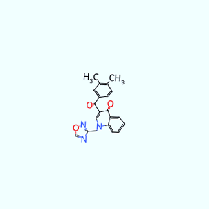 Cc1ccc(C(=O)c2cn(Cc3ncon3)c3ccccc3c2=O)cc1C